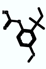 CCC(C)(C)c1cc(SC)ccc1OC(=O)O